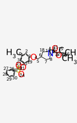 Cc1cc(OCC2CCN(C(=O)OC(C)(C)C)CC2)cc(OS(=O)(=O)c2ccccc2)c1